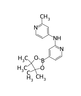 Cc1cc(Nc2cc(B3OC(C)(C)C(C)(C)O3)ccn2)ccn1